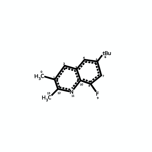 Cc1cc2cc(C(C)(C)C)cc(F)c2nc1C